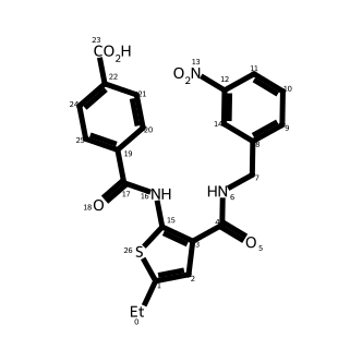 CCc1cc(C(=O)NCc2cccc([N+](=O)[O-])c2)c(NC(=O)c2ccc(C(=O)O)cc2)s1